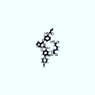 C=CC(=O)Nc1cccc(Oc2nc(Nc3ccc(N4CCN(C)CC4)c(F)c3)[nH]c3nccc2-3)c1.O=C(O)C/C=C\CC(=O)O